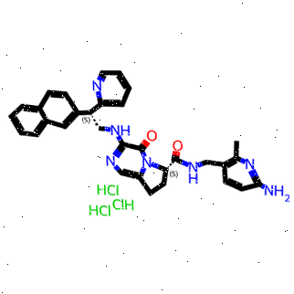 Cc1nc(N)ccc1CNC(=O)[C@@H]1CCc2cnc(NC[C@H](c3ccc4ccccc4c3)c3ccccn3)c(=O)n21.Cl.Cl.Cl